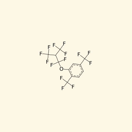 FC(F)(F)c1ccc(C(F)(F)F)c(OC(F)(F)C(C(F)(F)F)C(F)(F)F)c1